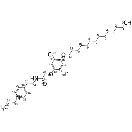 CCCCCCCCCCCCCCOc1ccc(OCC(=O)NCCc2cc[n+](CCC)cc2)cc1Cl.[I-]